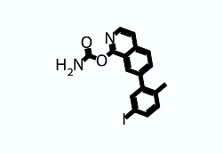 Cc1ccc(I)cc1-c1ccc2ccnc(OC(N)=O)c2c1